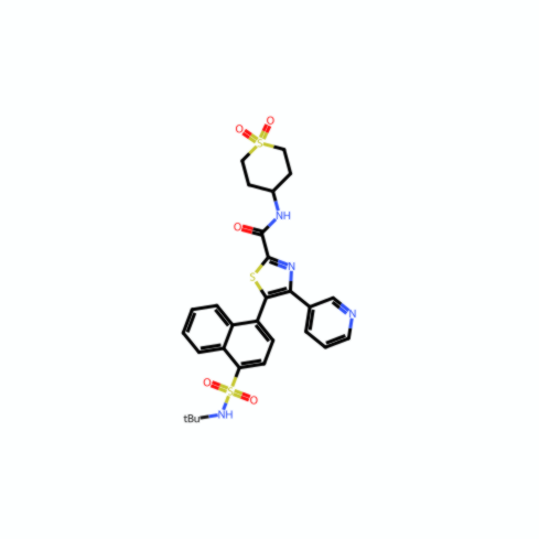 CC(C)(C)NS(=O)(=O)c1ccc(-c2sc(C(=O)NC3CCS(=O)(=O)CC3)nc2-c2cccnc2)c2ccccc12